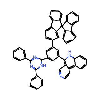 C1=CC2=c3ccncc3=C(c3cc(-c4ccc5c(c4)C4(c6ccccc6-c6ccccc64)c4ccccc4-5)cc(C4N=C(c5ccccc5)N=C(c5ccccc5)N4)c3)NC2C=C1